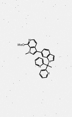 COc1nccc2c(-c3ccc4ccn(C(C)(c5ccccn5)c5ccccn5)c4c3)cn(C)c12